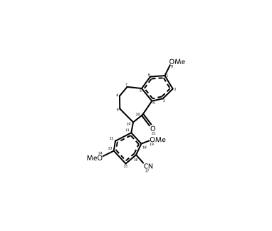 COc1ccc2c(c1)CCCC(c1cc(OC)cc(C#N)c1OC)C2=O